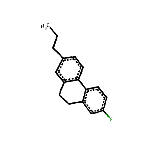 CCCc1ccc2c(c1)CCc1cc(F)ccc1-2